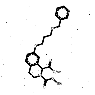 COC(=O)C1c2cc(OCCCOCc3ccccc3)ccc2CCN1C(=O)OC(C)(C)C